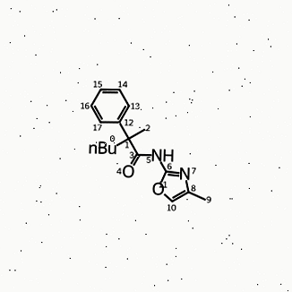 CCCCC(C)(C(=O)Nc1nc(C)co1)c1ccccc1